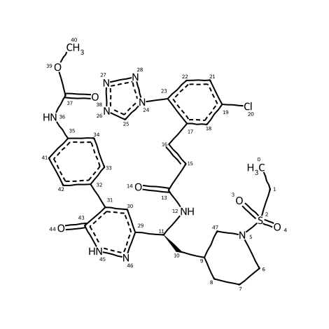 CCS(=O)(=O)N1CCCC(C[C@H](NC(=O)C=Cc2cc(Cl)ccc2-n2cnnn2)c2cc(-c3ccc(NC(=O)OC)cc3)c(=O)[nH]n2)C1